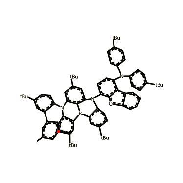 Cc1cc(C)cc(-c2cc(C(C)(C)C)ccc2N2c3ccc(C(C)(C)C)cc3B3c4cc(C(C)(C)C)ccc4N(c4ccc(N(c5ccc(C(C)(C)C)cc5)c5ccc(C(C)(C)C)cc5)c5c4oc4ccccc45)c4cc(C(C)(C)C)cc2c43)c1